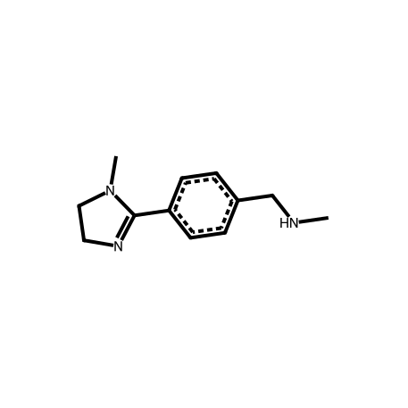 CNCc1ccc(C2=NCCN2C)cc1